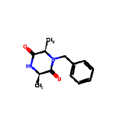 C[C@H]1NC(=O)[C@H](C)N(Cc2ccccc2)C1=O